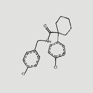 O=C(NCc1ccc(Cl)cc1)C1(c2ccc(Cl)cc2)CCCCC1